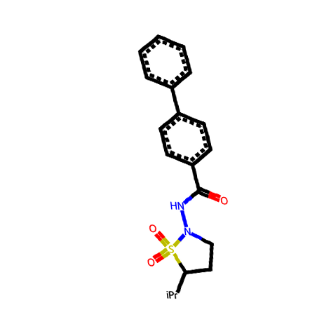 CC(C)C1CCN(NC(=O)c2ccc(-c3ccccc3)cc2)S1(=O)=O